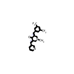 CN1C/C(=C\c2cccnc2)C(=O)/C(=C/c2cc(C(F)(F)F)cc(C(F)(F)F)c2)C1